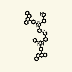 c1ccc(-c2cc(-c3cccc(-c4ccnc(-c5cccc(-c6cc(-c7cccc(-c8cccnc8)c7)nc(-c7ccc(-c8c9ccccc9cc9c8ccc8ccccc89)cc7)n6)c5)c4)c3)nc(-c3ccc(-c4c5ccccc5cc5c4ccc4ccccc45)cc3)n2)cc1